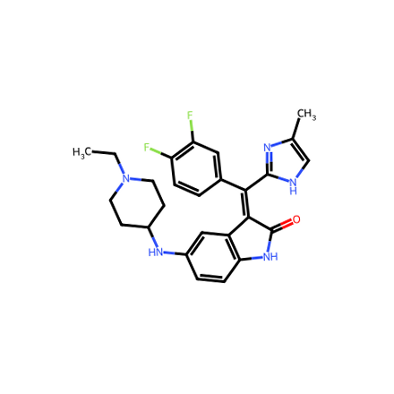 CCN1CCC(Nc2ccc3c(c2)/C(=C(\c2ccc(F)c(F)c2)c2nc(C)c[nH]2)C(=O)N3)CC1